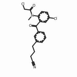 CN(C(=O)CCl)c1ccc(Cl)cc1C(=O)c1cccc(CCCC#N)c1